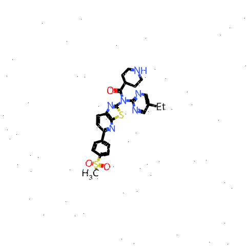 CCc1cnc(N(C(=O)C2CCNCC2)c2nc3ccc(-c4ccc(S(C)(=O)=O)cc4)nc3s2)nc1